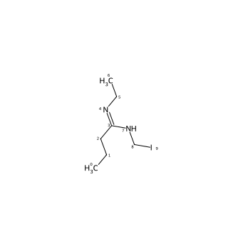 CCC/C(=N/CC)NCI